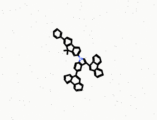 CC1(C)c2cc(-c3ccccc3)ccc2-c2ccc(-n3cc(-c4cc5ccccc5c5ccccc45)c4cc(-c5cc6ccccc6c6ccccc56)ccc43)cc21